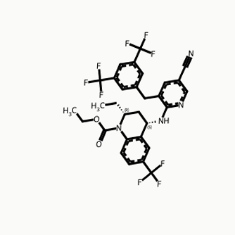 CCOC(=O)N1c2ccc(C(F)(F)F)cc2[C@@H](Nc2ncc(C#N)cc2Cc2cc(C(F)(F)F)cc(C(F)(F)F)c2)C[C@H]1CC